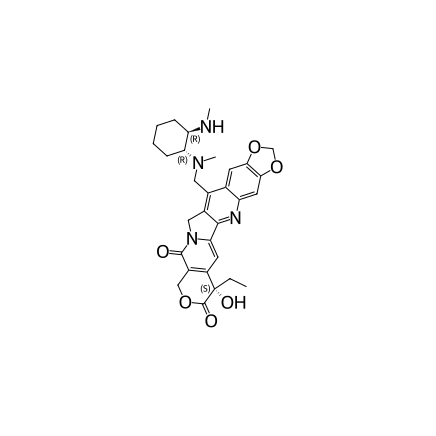 CC[C@@]1(O)C(=O)OCc2c1cc1n(c2=O)Cc2c-1nc1cc3c(cc1c2CN(C)[C@@H]1CCCC[C@H]1NC)OCO3